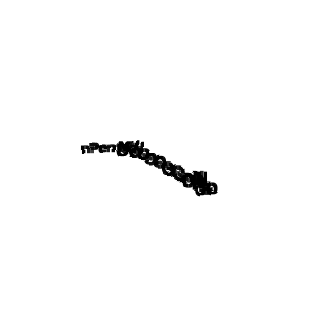 CCCCCNC(=O)NCCOCCOCCOCCOCCOCCOCCOCCn1cc(CN2C(=O)C=CC2=O)nn1